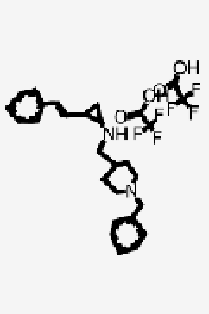 C(=C\C1CC1NCC1CCN(Cc2ccccc2)CC1)/c1ccccc1.O=C(O)C(F)(F)F.O=C(O)C(F)(F)F